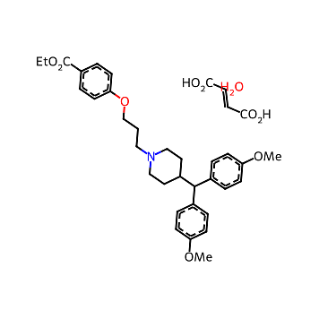 CCOC(=O)c1ccc(OCCCN2CCC(C(c3ccc(OC)cc3)c3ccc(OC)cc3)CC2)cc1.O.O=C(O)/C=C/C(=O)O